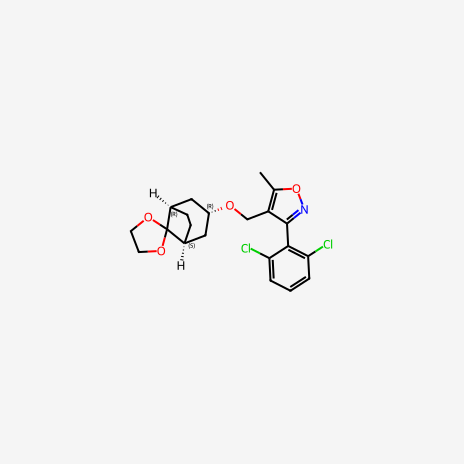 Cc1onc(-c2c(Cl)cccc2Cl)c1CO[C@H]1C[C@H]2CC[C@@H](C1)C21OCCO1